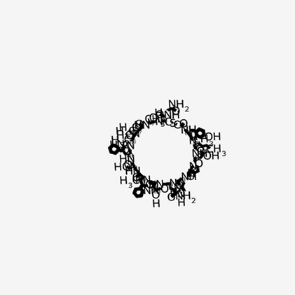 CCCC[C@H]1C(=O)N[C@@H](CC(=O)O)C(=O)N2CCC[C@H]2C(=O)N[C@@H](Cc2c[nH]cn2)C(=O)N[C@@H](CCC(N)=O)C(=O)N2C[C@H](O)C[C@H]2C(=O)N[C@@H]([C@@H](C)c2c[nH]c3ccccc23)C(=O)N[C@@H](CO)C(=O)N[C@@H](Cc2c[nH]c3ccccc23)C(=O)N(C)[C@@H](C)C(=O)N(C)[C@@H](C)C(=O)N[C@@H](C)C(=O)N[C@H](C(=O)NCC(N)=O)CSCC(=O)N[C@@H](Cc2ccc(O)cc2)C(=O)N1C